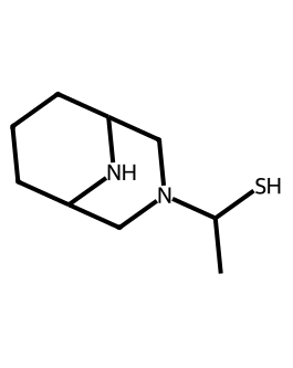 CC(S)N1CC2CCCC(C1)N2